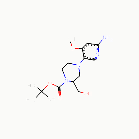 COc1cc(N)ncc1N1CCN(C(=O)OC(C)(C)C)C(CO)C1